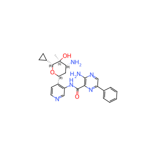 C[C@]1(O)[C@H](N)C[C@H](c2ccncc2NC(=O)c2nc(-c3ccccc3)cnc2N)O[C@@H]1C1CC1